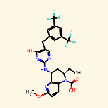 CC[C@@H]1C[C@H](Nc2ncc(Cc3cc(C(F)(F)F)cc(C(F)(F)F)c3)c(O)n2)c2nc(OC)ccc2N1C(=O)O